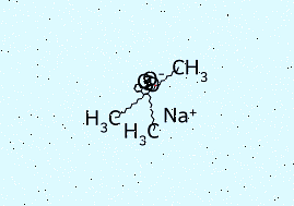 CCCCCCCCCCc1c(CCCCCCCCCC)c(S(=O)(=O)[O-])c2ccccc2c1CCCCCCCCCC.[Na+]